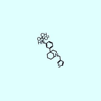 CS(=O)(=O)Nc1cccc(C23CCCC(C2)N(Cc2ccsc2)CC3)c1